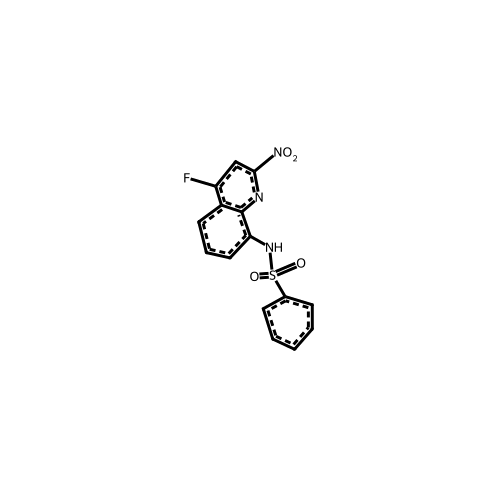 O=[N+]([O-])c1cc(F)c2cccc(NS(=O)(=O)c3ccccc3)c2n1